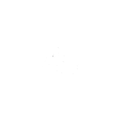 CC(C)(C)OC(=O)N(CC(=N)N)c1ccccc1F